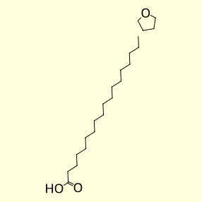 C1CCOC1.CCCCCCCCCCCCCCCCCC(=O)O